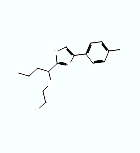 CCCC(OCC[18F])c1nc(-c2ccc(C)cc2)c[nH]1